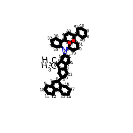 CC1(C)c2cc(-c3cc4ccccc4c4ccccc34)ccc2-c2ccc(N(c3ccccc3)c3ccccc3-c3ccc(-c4ccccc4)cc3)cc21